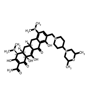 CC1CN(C2CCN(Cc3cc(N(C)C)c4c(c3O)C(=O)C3=C(O)[C@]5(O)C(=O)C(C(N)=O)=C(O)[C@@H](N(C)C)[C@@H]5C[C@@H]3C4)CC2)CC(C)O1